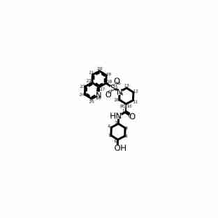 O=C(NC1CCC(O)CC1)[C@@H]1CCCN(S(=O)(=O)c2cccc3cccnc23)C1